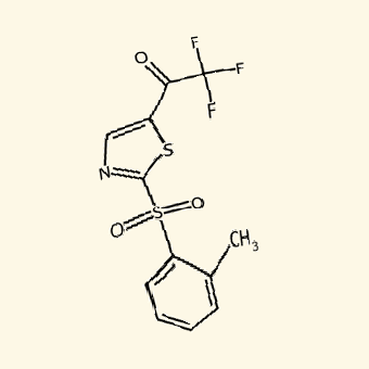 Cc1ccccc1S(=O)(=O)c1ncc(C(=O)C(F)(F)F)s1